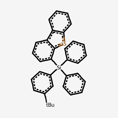 CC(C)(C)c1cccc([Si](c2ccccc2)(c2ccccc2)c2cccc3c2sc2ccccc23)c1